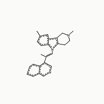 C/C(=C\n1c2c(c3cc(C)ccc31)CN(C)CC2)c1cncc2ccccc12